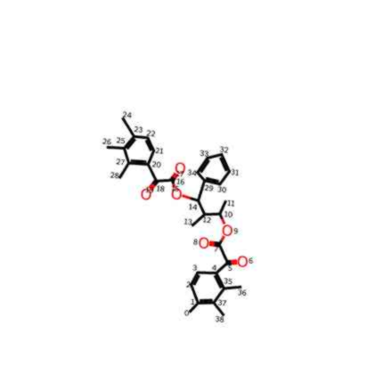 Cc1ccc(C(=O)C(=O)OC(C)C(C)C(OC(=O)C(=O)c2ccc(C)c(C)c2C)c2ccccc2)c(C)c1C